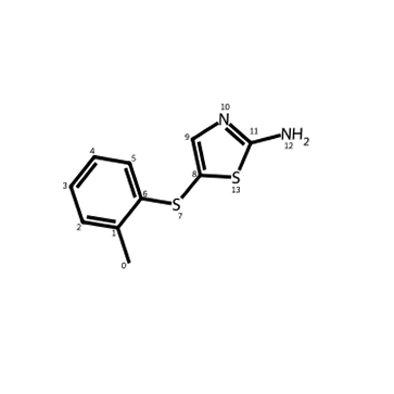 Cc1ccccc1Sc1cnc(N)s1